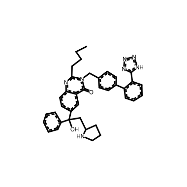 CCCCc1nc2ccc(C(O)(CC3CCCN3)c3ccccc3)cc2c(=O)n1Cc1ccc(-c2ccccc2-c2nnn[nH]2)cc1